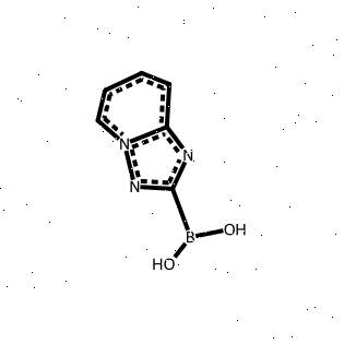 OB(O)c1nc2ccccn2n1